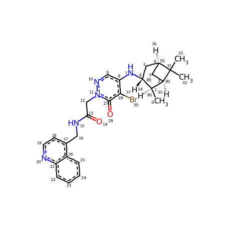 C[C@@H]1[C@H]2C[C@@H](C[C@H]1Nc1cnn(CC(=O)NCc3ccnc4ccccc34)c(=O)c1Br)C2(C)C